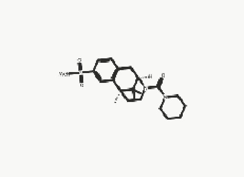 CNS(=O)(=O)c1ccc2c(c1)[C@]1(C)CCN(C(=O)N3CCCCC3)[C@H](C2)C1(C)C